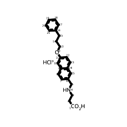 Cl.O=C(O)CCNCc1ccc2cc(OCCCc3ccccc3)ccc2c1